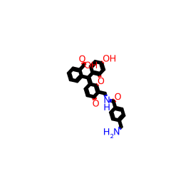 NCc1ccc(C(=O)NCc2c3oc4cc(O)ccc4c(-c4ccccc4C(=O)O)c-3ccc2=O)cc1